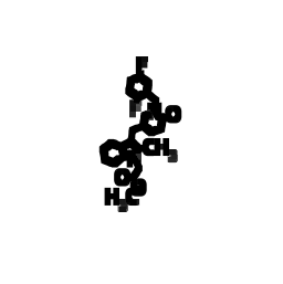 COC(=O)Cn1c(C)c(Cc2ccc(=O)n(Cc3cc(F)ccc3F)c2)c2ccccc21